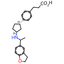 CC(N[C@H]1CC[C@H](c2ccc(CCC(=O)O)cc2)C1)c1ccc2c(c1)CCO2